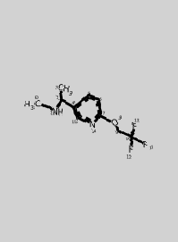 CNC(C)c1ccc(OCC(F)(F)F)nc1